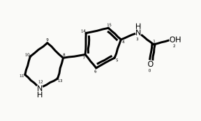 O=C(O)Nc1ccc(C2CCCNC2)cc1